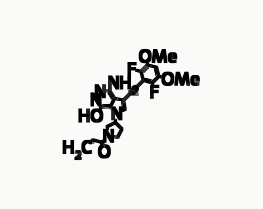 C=CC(=O)N1CCC(n2cc(C#Cc3c(F)c(OC)cc(OC)c3F)c3c(N)nnc(O)c32)C1